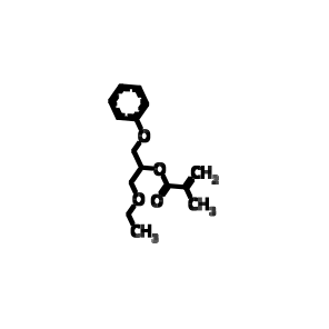 C=C(C)C(=O)OC(COCC)COc1ccccc1